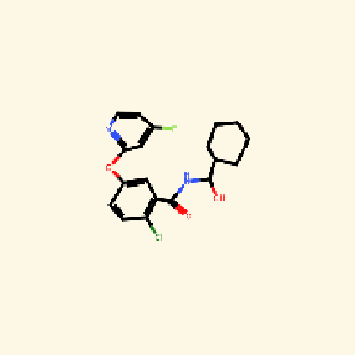 O=C(NC(O)C1CCCCC1)c1cc(Oc2cc(F)ccn2)ccc1Cl